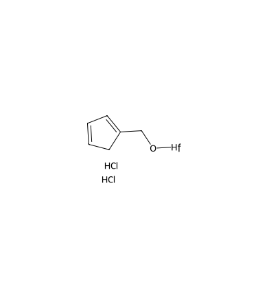 Cl.Cl.[Hf][O]CC1=CC=CC1